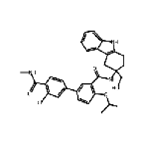 CNC(=O)c1ccc(-c2ccc(OC(C)C)c(C(=O)NC3(CO)CCc4[nH]c5ccccc5c4C3)c2)cc1Cl